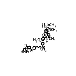 COc1cc2nc(C)nc(N[C@H](C)c3cc(-c4ccccc4CN(C)C(=O)OC(C)(C)C)cs3)c2cc1[C@H]1CC[C@H](C(=O)N(C)CCCC2CCN(C(=O)c3ccc(Cl)c(N4CCC(=O)NC4=O)c3)CC2)CC1